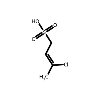 C/C(Cl)=C/CS(=O)(=O)O